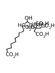 CCCCCCCC(O)O.O=C(O)CC(O)(CC(=O)O)C(=O)O.O=C(O)CCCCCCCCC(=O)O